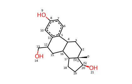 C[C@]12CCC3c4ccc(O)cc4C(CO)CC3C1CC[C@@H]2O